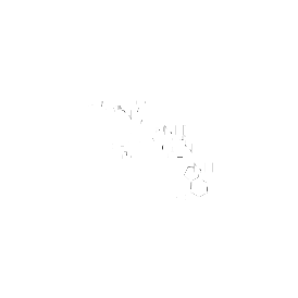 COC(=O)O[C@@H](C)N1CC[C@@H](C[C@H](NC(=O)[C@H](CC(C)C)NC(=O)c2cc3c(OC)cccc3[nH]2)C(=O)COP(=O)(OC)OC)C1=O